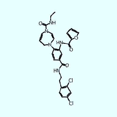 CCNC(=O)N1C=CCN(c2ccc(C(=O)NCCc3ccc(Cl)cc3Cl)cc2NC(=O)c2ccco2)C=C1